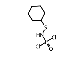 O=P(Cl)(Cl)NSC1CCCCC1